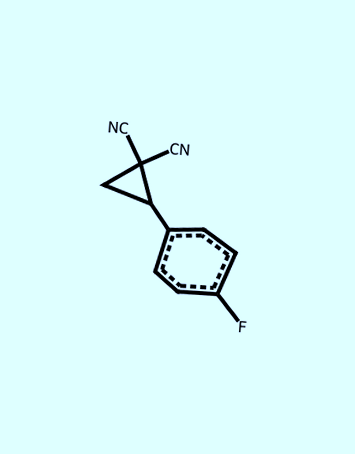 N#CC1(C#N)CC1c1ccc(F)cc1